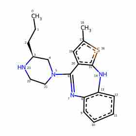 CCC[C@H]1CN(C2=Nc3ccccc3Nc3sc(C)cc32)CCN1